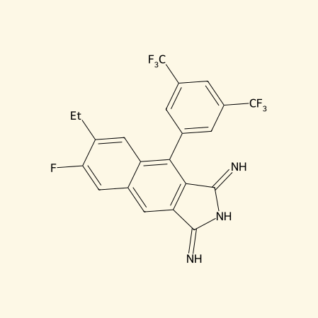 CCc1cc2c(-c3cc(C(F)(F)F)cc(C(F)(F)F)c3)c3c(cc2cc1F)C(=N)NC3=N